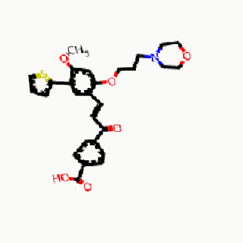 COc1cc(OCCCN2CCOCC2)c(C=CC(=O)c2ccc(C(=O)O)cc2)cc1-c1cccs1